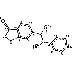 O=C1CCc2cc(C(O)C(O)c3ccncc3)ccc21